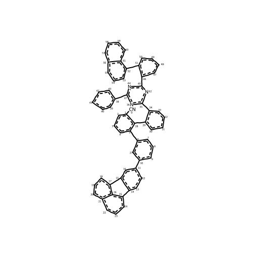 N#Cc1cccc(-c2cccc(-c3ccc4c(c3)-c3cccc5cccc-4c35)c2)c1-c1ccccc1-c1nc(-c2ccccc2)nc(-c2ccccc2-c2cccc3ccccc23)n1